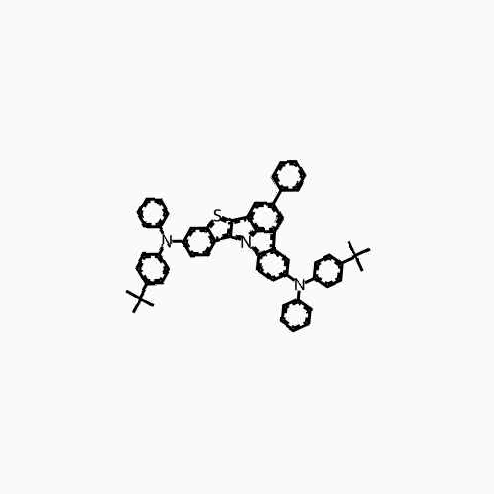 CC(C)(C)c1ccc(N(c2ccccc2)c2ccc3c(c2)sc2c4cc(-c5ccccc5)cc5c6cc(N(c7ccccc7)c7ccc(C(C)(C)C)cc7)ccc6n(c54)c32)cc1